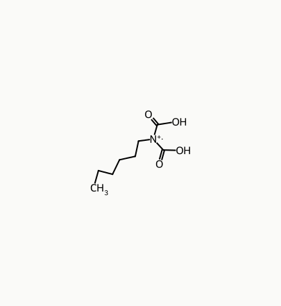 CCCCCC[N+](C(=O)O)C(=O)O